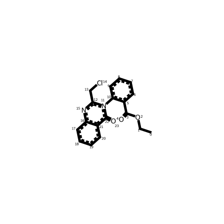 CCOC(=O)c1ccccc1-n1c(CCl)nc2ccccc2c1=O